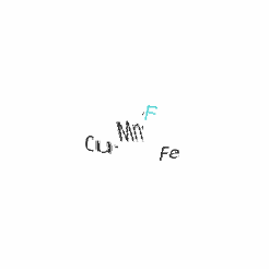 [Cu].[F].[Fe].[Mn]